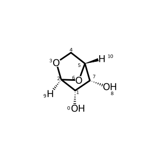 O[C@@H]1[C@H]2OC[C@@H](O2)[C@@H]1O